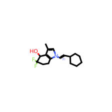 Cc1cn(/C=C/C2CCCCC2)c2c1C(O)C(F)(F)CC2